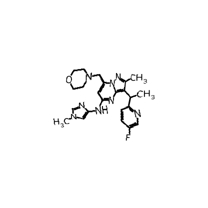 Cc1nn2c(CN3CCOCC3)cc(Nc3cn(C)cn3)nc2c1C(C)c1ccc(F)cn1